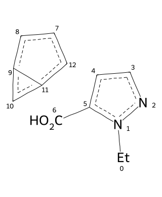 CCn1nccc1C(=O)O.c1cc2cc-2c1